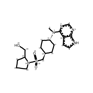 CN(c1ncnc2[nH]ccc12)[C@H]1CC[C@H](CS(=O)(=O)N2CCCC2CO)CC1